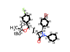 CC(C)(C)[Si](C)(C)O[C@@H](CC[C@H]1C(=O)N(c2ccccc2)[C@@H]1c1ccc(Br)cc1)c1ccc(F)cc1